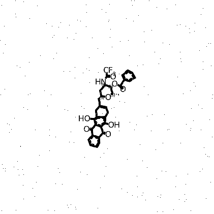 C[C@@H]1O[C@@H](CC2=CCc3c(O)c4c(c(O)c3C2)C(=O)c2ccccc2C4=O)C[C@H](NC(=O)C(F)(F)F)[C@@H]1OC(=O)c1ccccc1